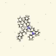 c1ccc(-c2c(-c3ccccc3)c3cc(N(c4ccc(-c5ccc6ccccc6c5)cc4)c4ccc5c6ccccc6n(-c6ccccc6)c5c4)ccc3c3ccccc23)cc1